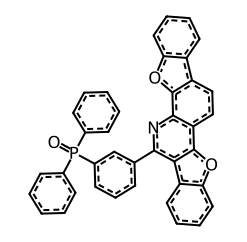 O=P(c1ccccc1)(c1ccccc1)c1cccc(-c2nc3c(ccc4c5ccccc5oc43)c3oc4ccccc4c23)c1